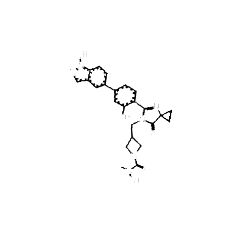 Cc1cc(-c2ccc3c(cnn3C)c2)ccc1C1=NC2(CC2)C(=O)N1CC1CN(C(=O)N(C)C)C1